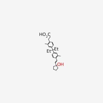 CCC(CC)(c1ccc(/C=C/C2(O)CCCC2)c(C)c1)c1ccc(CCC(=O)O)c(C)c1